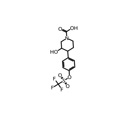 O=C(O)N1CCC(c2ccc(OS(=O)(=O)C(F)(F)F)cc2)C(O)C1